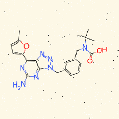 Cc1ccc(-c2nc(N)nc3c2nnn3Cc2cccc(CN(C(=O)O)C(C)(C)C)c2)o1